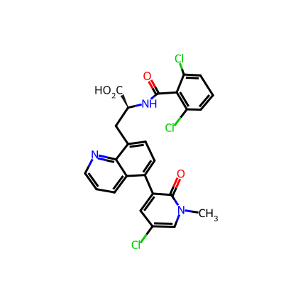 Cn1cc(Cl)cc(-c2ccc(C[C@H](NC(=O)c3c(Cl)cccc3Cl)C(=O)O)c3ncccc23)c1=O